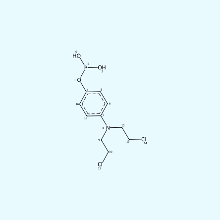 OP(O)Oc1ccc(N(CCCl)CCCl)cc1